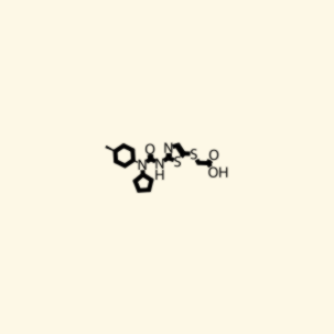 C[C@H]1CC[C@H](N(C(=O)Nc2ncc(SCC(=O)O)s2)C2CCCC2)CC1